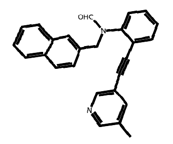 Cc1cncc(C#Cc2ccccc2N(C=O)Cc2ccc3ccccc3c2)c1